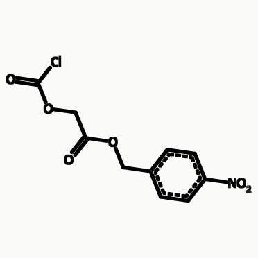 O=C(Cl)OCC(=O)OCc1ccc([N+](=O)[O-])cc1